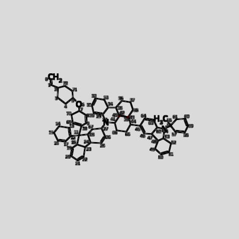 C=CC1CCC(OC2C=CC(C3(C4=CCCC=C4)C4C=CC=CC4C4C=CC(N(C5=CC=CCC5C5CCCCC5)C5CCC(C6=CC7C8CC=CCC8N(C8(C)C=CC=CC8)C7C=C6)CC5)CC43)=CC2)CC1